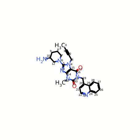 CC#CCn1c(N2CCCC(N)C2)nc2c1c(=O)n(Cc1ccnc3ccccc13)c(=O)n2C